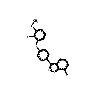 COc1cccc(Oc2ccc(-c3n[nH]c4c(Cl)cncc34)cc2)c1F